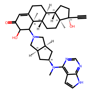 C#C[C@]1(O)CC[C@H]2[C@@H]3CCC4=CC(=O)C(O)C(N5C[C@H]6C[C@@H](N(C)c7ncnc8[nH]ccc78)C[C@H]6C5)[C@]4(C)[C@H]3CC[C@@]21C